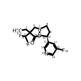 CCC1(C(F)F)CN2CC[C@@H](c3cncc(F)c3)N2C1=O